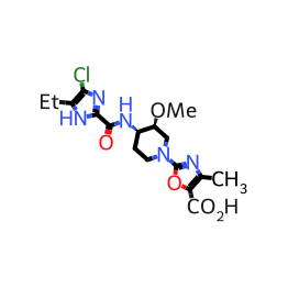 CCc1[nH]c(C(=O)N[C@@H]2CCN(c3nc(C)c(C(=O)O)o3)C[C@@H]2OC)nc1Cl